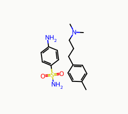 Cc1ccc(CCCN(C)C)cc1.Nc1ccc(S(N)(=O)=O)cc1